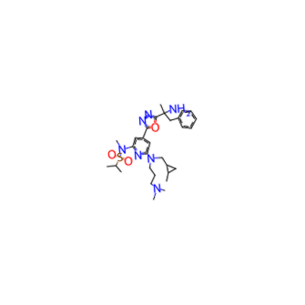 CC1CC1CN(CCCN(C)C)c1cc(-c2nnc(C(C)(N)Cc3ccccc3)o2)cc(N(C)S(=O)(=O)C(C)C)n1